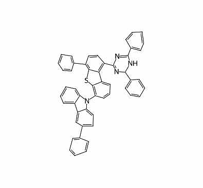 c1ccc(C2=NC(c3ccc(-c4ccccc4)c4sc5c(-n6c7ccccc7c7cc(-c8ccccc8)ccc76)cccc5c34)=NC(c3ccccc3)N2)cc1